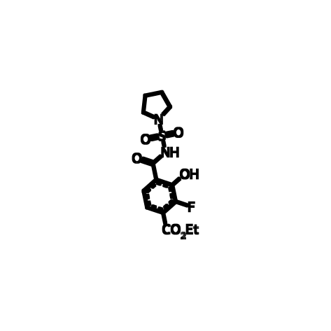 CCOC(=O)c1ccc(C(=O)NS(=O)(=O)N2CCCC2)c(O)c1F